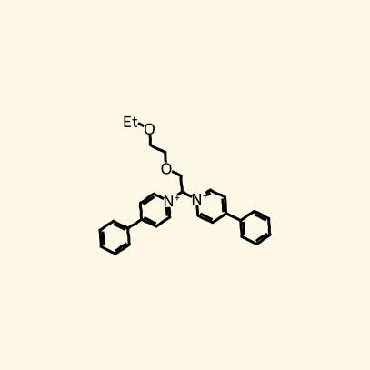 CCOCCOCC([n+]1ccc(-c2ccccc2)cc1)[n+]1ccc(-c2ccccc2)cc1